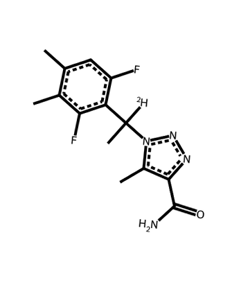 [2H]C(C)(c1c(F)cc(C)c(C)c1F)n1nnc(C(N)=O)c1C